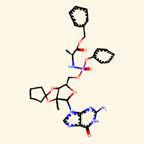 C[C@H](NP(=O)(OC[C@H]1OC(n2cnc3c(=O)[nH]c(N)nc32)C2(C)OC3(CCCC3)OC12)Oc1ccccc1)C(=O)OCc1ccccc1